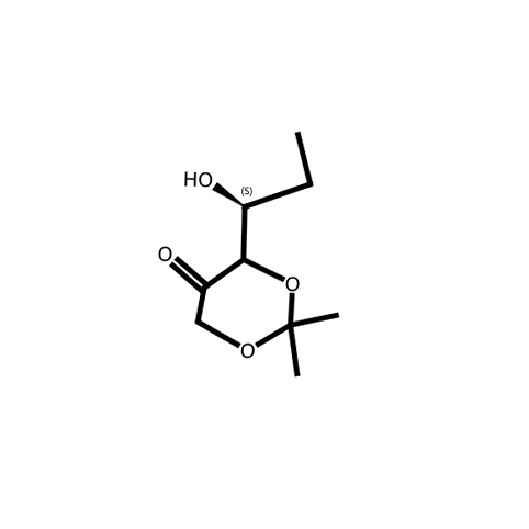 CC[C@H](O)C1OC(C)(C)OCC1=O